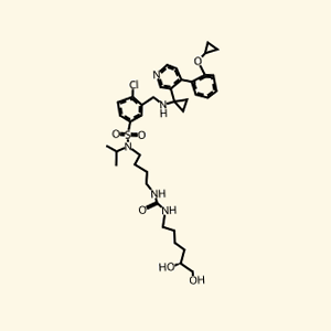 CC(C)N(CCCCNC(=O)NCCCC[C@H](O)CO)S(=O)(=O)c1ccc(Cl)c(CNC2(c3cnccc3-c3ccccc3OC3CC3)CC2)c1